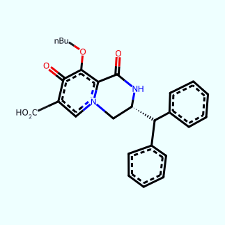 CCCCOc1c2n(cc(C(=O)O)c1=O)C[C@@H](C(c1ccccc1)c1ccccc1)NC2=O